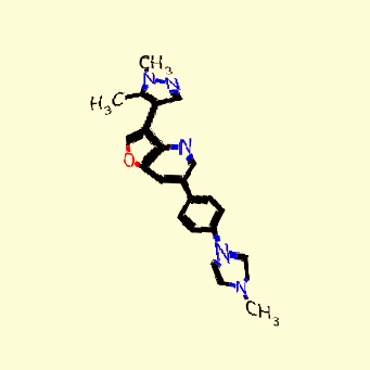 Cc1c(-c2coc3cc(-c4ccc(N5CCN(C)CC5)cc4)cnc23)cnn1C